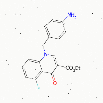 CCOC(=O)c1cn(Cc2ccc(N)cc2)c2cccc(F)c2c1=O